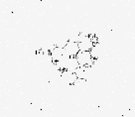 CC(C)[C@H](N)C(=O)N[C@H](C(=O)O)[C@@H](CN)CCCB(O)O